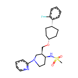 CS(=O)(=O)N[C@H]1CCN(c2ccccn2)C[C@H]1CO[C@H]1CC[C@@H](c2ccccc2F)CC1